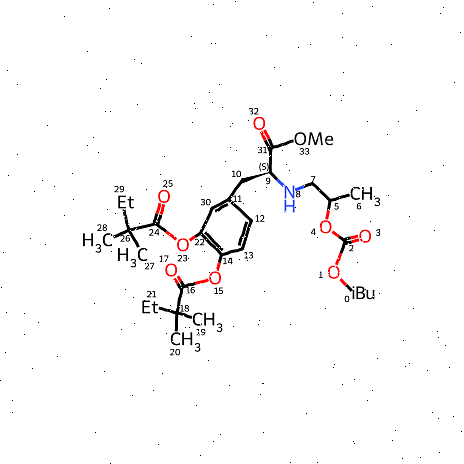 CCC(C)OC(=O)OC(C)CN[C@@H](Cc1ccc(OC(=O)C(C)(C)CC)c(OC(=O)C(C)(C)CC)c1)C(=O)OC